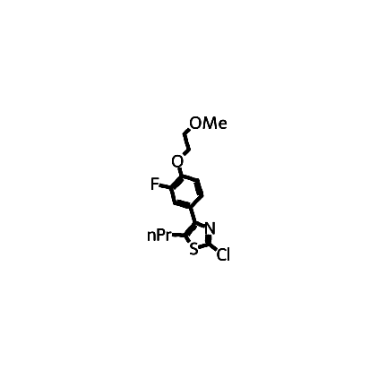 CCCc1sc(Cl)nc1-c1ccc(OCCOC)c(F)c1